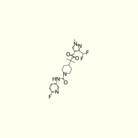 Cn1cc(S(=O)(=O)C(C)(C)C2CCN(C(=O)Nc3ccc(F)nc3)CC2)c(C(F)F)n1